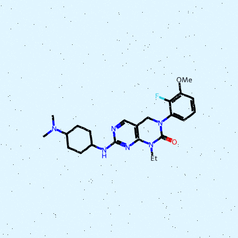 CCN1C(=O)N(c2cccc(OC)c2F)Cc2cnc(NC3CCC(N(C)C)CC3)nc21